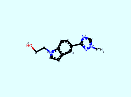 Cn1cnc(-c2ccc3c(ccn3CCO)c2)n1